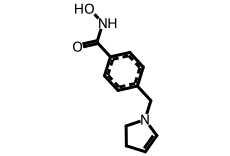 O=C(NO)c1ccc(CN2C=CCC2)cc1